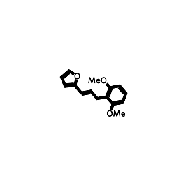 COc1cccc(OC)c1C/C=C/c1ccco1